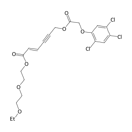 CCOCCOCCOC(=O)C=CC#CCOC(=O)COc1cc(Cl)c(Cl)cc1Cl